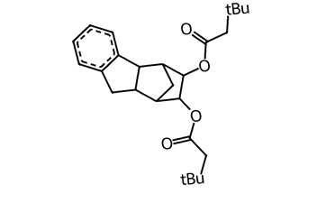 CC(C)(C)CC(=O)OC1C2CC(C1OC(=O)CC(C)(C)C)C1c3ccccc3CC21